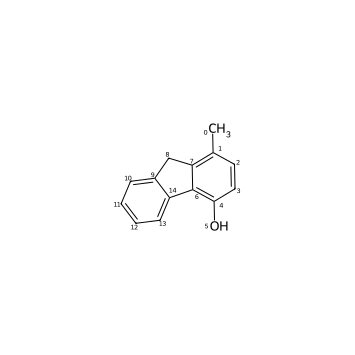 Cc1ccc(O)c2c1Cc1ccccc1-2